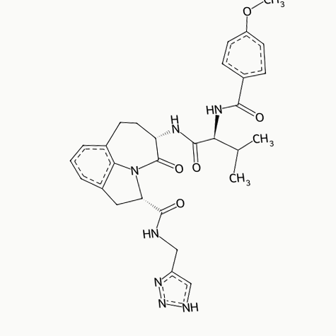 COc1ccc(C(=O)N[C@H](C(=O)N[C@H]2CCc3cccc4c3N(C2=O)[C@H](C(=O)NCc2c[nH]nn2)C4)C(C)C)cc1